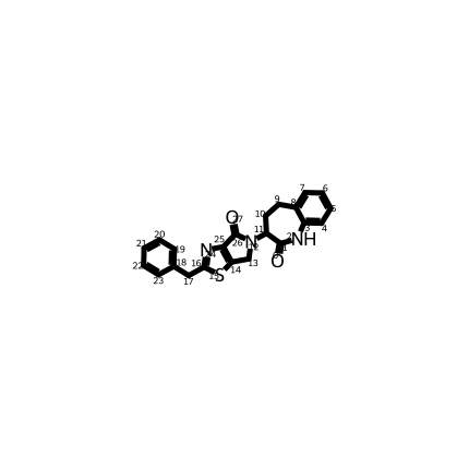 O=C1Nc2ccccc2CCC1N1Cc2sc(Cc3ccccc3)nc2C1=O